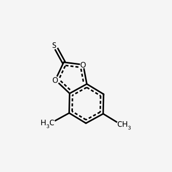 Cc1cc(C)c2oc(=S)oc2c1